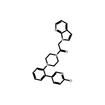 O=C(Cn1ccc2cccnc21)N1CCN(c2ccccc2-c2ccc(Cl)nc2)CC1